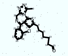 Cc1nnc2n1-c1sc(CCCCCCC=O)cc1C(c1ccccc1Cl)=NC2